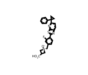 O=C(O)C1C[N+]([O-])(Cc2ccc(-c3nc4ccc(C5(c6ccccc6)CC5)nc4s3)c(F)c2)C1